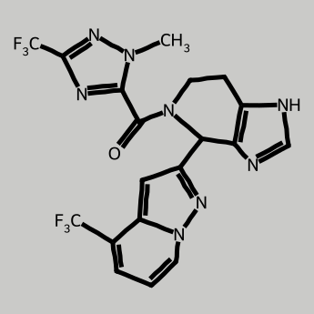 Cn1nc(C(F)(F)F)nc1C(=O)N1CCc2[nH]cnc2C1c1cc2c(C(F)(F)F)cccn2n1